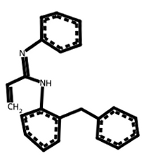 C=CC(=Nc1ccccc1)Nc1ccccc1Cc1ccccc1